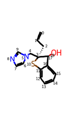 C=CC[C@@]1(Cn2ccnc2)Sc2ccccc2[C@@H]1O